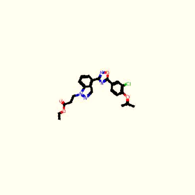 CCOC(=O)CCn1ncc2c(-c3noc(-c4ccc(OC(C)C)c(Cl)c4)n3)cccc21